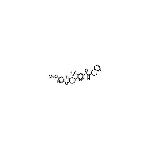 COc1ccc(O[C@@H]2CCN(c3nnc(C(=O)N[C@H]4CCc5ncccc5C4)cc3C)C[C@@H]2F)cn1